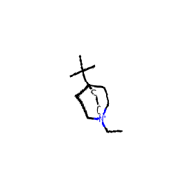 CC[N+]12CCC(C(C)(C)C)(CC1)CC2